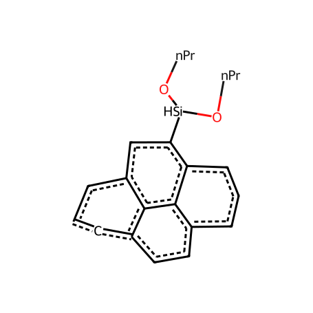 CCCO[SiH](OCCC)c1cc2cccc3ccc4cccc1c4c32